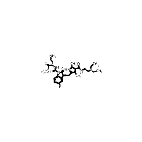 CCN(CC)CCNC(=O)c1c(C)[nH]c(/C=C2\C(=O)N(C(=O)N[C@@H](CCN)C(=O)PC)c3ccc(F)cc32)c1C